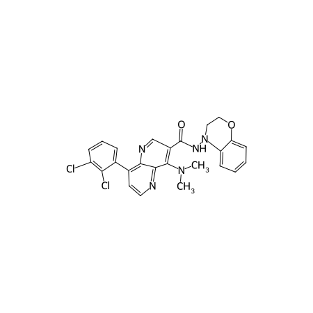 CN(C)c1c(C(=O)NN2CCOc3ccccc32)cnc2c(-c3cccc(Cl)c3Cl)ccnc12